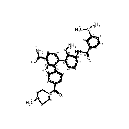 CN1CCN(C(=O)c2ccc3c(c2)[nH]c2c(C(N)=O)ccc(-c4cccc(NC(=O)c5cccc(N(C)C)c5)c4CN)c23)CC1